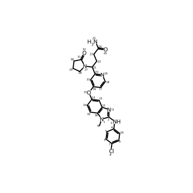 Cn1c(Nc2ccc(Cl)cc2)nc2cc(Oc3ccnc(C(CCC(N)=O)N4CCCC4=O)c3)ccc21